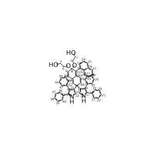 OCCOC1(OCCO)C=CC2=CC(c3c[nH]c(-c4ccccc4)c3-c3ccccc3)(c3c[nH]c(-c4ccccc4)c3-c3ccccc3)C=CC2=C1c1cccc2ccccc12